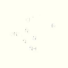 Nc1nc(N=O)nc(-c2cc(Br)ccc2Cl)n1